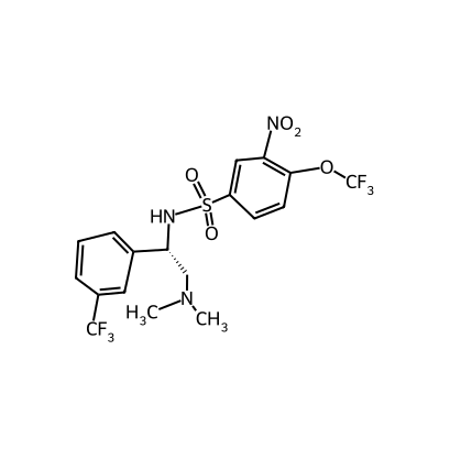 CN(C)C[C@@H](NS(=O)(=O)c1ccc(OC(F)(F)F)c([N+](=O)[O-])c1)c1cccc(C(F)(F)F)c1